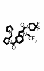 O=C(c1cc2cc(C(=O)N3CCCC3CN3CCCC3)ccc2n1CC(F)(F)F)N1CCC(F)(F)CC1